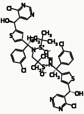 CC(C)(C)[S+]([O-])N(CC(C)(C)[S+]([O-])N[C@@](C)(c1cccc(Cl)c1)c1csc([C@H](O)c2cncnc2Cl)c1)[C@@](C)(c1cccc(Cl)c1)c1csc([C@@H](O)c2cncnc2Cl)c1